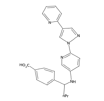 CCCC(Nc1ccc(-n2cc(-c3ccccn3)cn2)nc1)c1ccc(C(=O)O)cc1